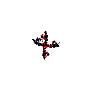 C#CCOc1ccc2c(c1)/C(=C\c1ccc[nH]1)c1cc(-c3ccc(C(c4ccc(-c5ccc6c(c5)/C(=C/c5ccc[nH]5)c5cc(OCC#C)ccc5-6)cc4)(c4ccc(-c5ccc6c(c5)/C(=C/c5ccc[nH]5)c5cc(OCC#C)ccc5-6)cc4)c4ccc(-c5ccc6c(c5)/C(=C/c5ccc[nH]5)c5cc(OCC#C)ccc5-6)cc4)cc3)ccc1-2